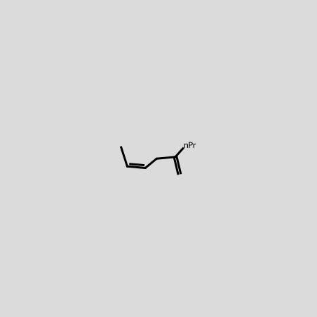 C=C(C/C=C\C)CCC